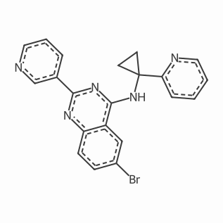 Brc1ccc2nc(-c3cccnc3)nc(NC3(c4ccccn4)CC3)c2c1